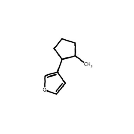 C[C]1CCCC1c1ccoc1